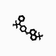 FC(F)(F)c1cccc2c(OC3CCN(C(c4ccccc4)C(F)(F)F)CC3)ccnc12